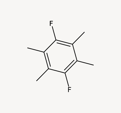 Cc1c(C)c(F)c(C)c(C)c1F